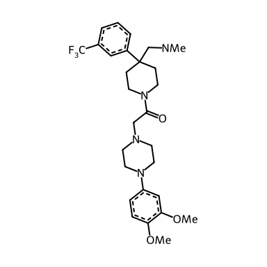 CNCC1(c2cccc(C(F)(F)F)c2)CCN(C(=O)CN2CCN(c3ccc(OC)c(OC)c3)CC2)CC1